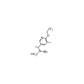 Cc1cc(C(C)N(C(=O)O)C(C)(C)C)cnc1OCC(F)(F)F